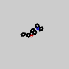 c1ccc(-c2ccc3c(c2)-c2cccc4c(-n5c6ccccc6c6ccccc65)ccc(c24)O3)cc1